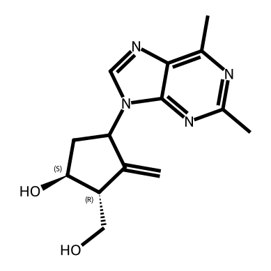 C=C1C(n2cnc3c(C)nc(C)nc32)C[C@H](O)[C@H]1CO